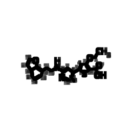 CCOc1cc(-c2cc(NCCc3cccc4ccoc34)ncn2)sc1C(=O)O